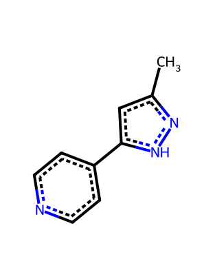 Cc1cc(-c2ccncc2)[nH]n1